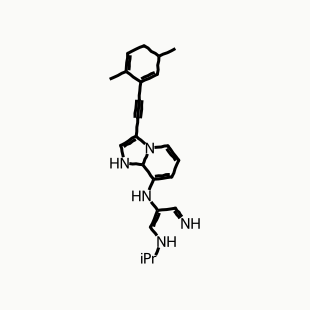 CC1=CCC(C)C=C1C#CC1=CNC2C(N/C(C=N)=C/NC(C)C)=CC=CN12